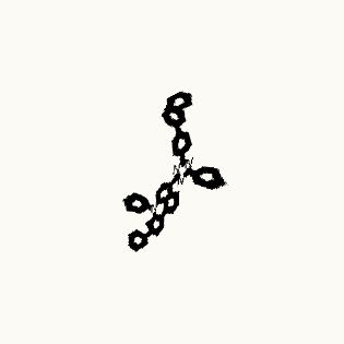 c1ccc(-c2ccc3c(c2)N(c2ccccc2)c2ccc(-c4nc(-c5ccccc5)nc(-c5ccc(-c6ccc7ccccc7c6)cc5)n4)c4cccc-3c24)cc1